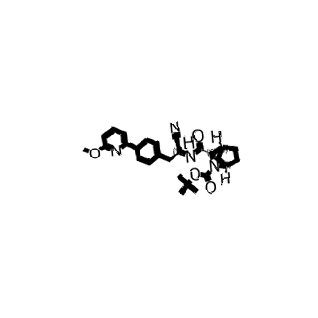 COc1cccc(-c2ccc(C[C@@H](C#N)NC(=O)[C@@H]3[C@H]4CC[C@H](C4)N3C(=O)OC(C)(C)C)cc2)n1